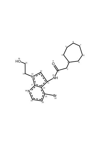 O=C(CC1CCCCCC1)Nc1cn(CCO)c2nccc(Br)c12